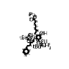 CC(C)OC(=O)CCCC=CC[C@@H]1[C@@H](CCC(CCc2ccccc2)O[Si](C)(C)C(C)(C)C)[C@H](O[Si](C)(C)C(C)(C)C)C[C@@H]1O